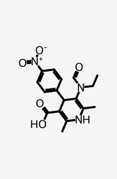 CCN(C=O)C1=C(C)NC(C)=C(C(=O)O)C1c1ccc([N+](=O)[O-])cc1